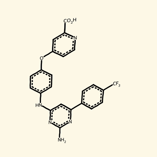 Nc1nc(Nc2ccc(Oc3ccnc(C(=O)O)c3)cc2)cc(-c2ccc(C(F)(F)F)cc2)n1